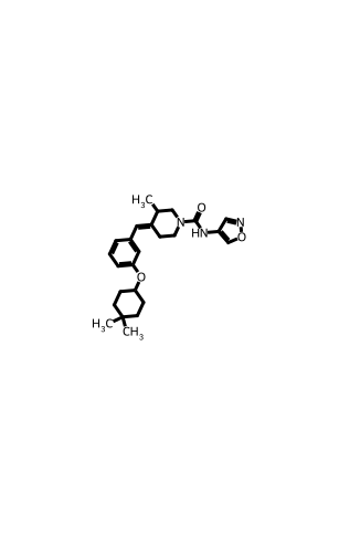 CC1CN(C(=O)Nc2cnoc2)CCC1=Cc1cccc(OC2CCC(C)(C)CC2)c1